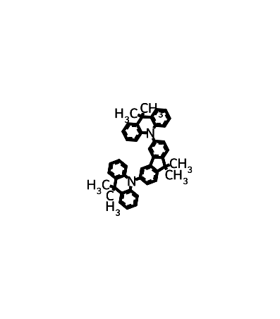 CC1(C)c2ccc(N3c4ccccc4C(C)(C)c4ccccc43)cc2-c2cc(N3c4ccccc4C(C)(C)c4ccccc43)ccc21